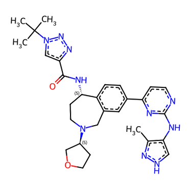 Cc1n[nH]cc1Nc1nccc(-c2ccc3c(c2)CN([C@H]2CCOC2)CC[C@@H]3NC(=O)c2cn(C(C)(C)C)nn2)n1